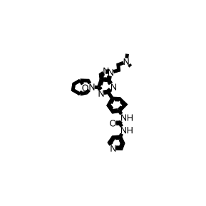 CN(C)CCn1ncc2c(N3CC4CCC(C3)O4)nc(-c3ccc(NC(=O)Nc4ccncc4)cc3)nc21